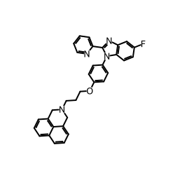 Fc1ccc2c(c1)nc(-c1ccccn1)n2-c1ccc(OCCCN2Cc3cccc4cccc(c34)C2)cc1